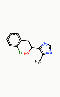 Cc1[nH]cnc1C(O)Cc1ccccc1Cl